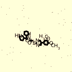 COc1ccc(-c2cnc(SCC(=O)NC(C)(C3CCCCC3)C3CCCNC3)nc2)cc1OC